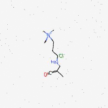 CC(=C=O)CNCCC[N+](C)(C)C.[Cl-]